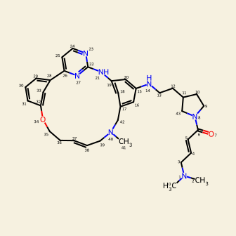 CN(C)C/C=C/C(=O)N1CCC(CCNc2cc3cc(c2)Nc2nccc(n2)-c2cccc(c2)OCC/C=C/CN(C)C3)C1